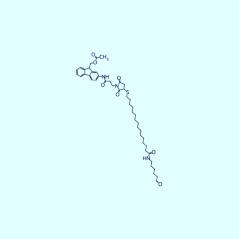 CC(=O)OCC1c2ccccc2-c2ccc(NC(=O)CCN3C(=O)CC(SCCCCCCCCCCCCCCCC(=O)NCCCCCC=O)C3=O)cc21